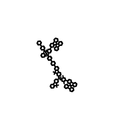 Cc1cc(N(c2ccc3c(c2)C(C)(C)c2ccccc2-3)c2ccc3c(c2)C(C)(C)c2cc(-c4ccc(-c5ccc(N6c7ccccc7N(c7ccc(-c8ccccc8)cc7)c7cc(-c8ccc9c(c8)C8(c%10ccccc%10-c%10ccccc%108)c8ccccc8-9)ccc76)cc5)cc4)ccc2-3)c(C)cc1-c1ccc2c(c1)C1(c3ccccc3-c3ccccc31)c1ccccc1-2